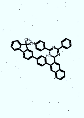 CC1(C)c2ccccc2-c2ccc(-c3ccc(-c4cc5ccccc5cc4C4N=C(c5ccccc5)N=C(c5ccccc5)N4)cc3)cc21